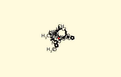 CC/C1=C/CCCCC[C@H](NC(=O)OC2CCCC2)C(=O)N2C[C@H](Oc3cc(-c4csc(NC(C)C)n4)nc4cc(OC)ccc34)C[C@H]2C(=O)N[C@]2(C(=O)O)C[C@@H]12